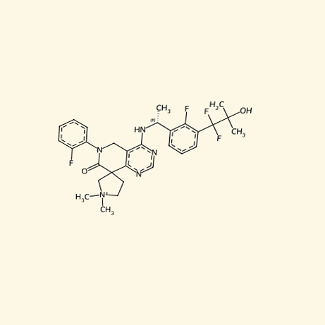 C[C@@H](Nc1ncnc2c1CN(c1ccccc1F)C(=O)C21CC[N+](C)(C)C1)c1cccc(C(F)(F)C(C)(C)O)c1F